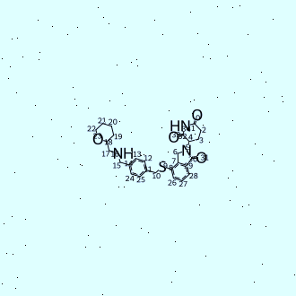 O=C1CCC(N2Cc3c(SCc4ccc(CNCC5CCCCO5)cc4)cccc3C2=O)C(=O)N1